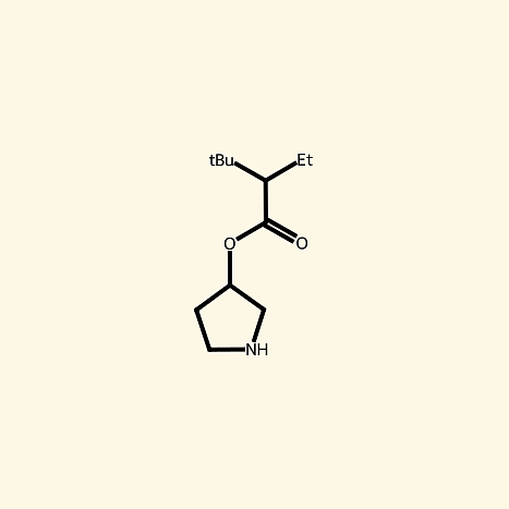 [CH2]CC(C(=O)OC1CCNC1)C(C)(C)C